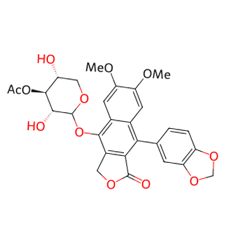 COc1cc2c(OC3OC[C@@H](O)[C@H](OC(C)=O)[C@H]3O)c3c(c(-c4ccc5c(c4)OCO5)c2cc1OC)C(=O)OC3